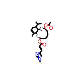 CC(=O)OC1CCCCC(OC(=O)C=Cc2cn(C)cn2)CC2C(C)=CCC(C(C)C)C2C1